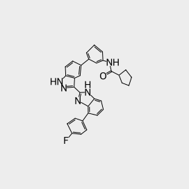 O=C(Nc1cccc(-c2ccc3[nH]nc(-c4nc5c(-c6ccc(F)cc6)cccc5[nH]4)c3c2)c1)C1CCCC1